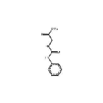 COC(=O)CNC(=O)Nc1ccccc1